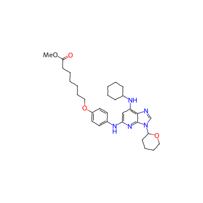 COC(=O)CCCCCCOc1ccc(Nc2cc(NC3CCCCC3)c3ncn(C4CCCCO4)c3n2)cc1